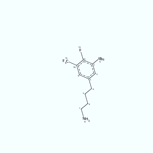 CC(C)(C)c1cc(CCCCN)cc(C(F)(F)F)c1F